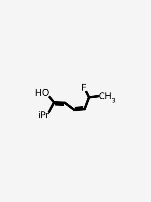 CC(F)/C=C\C=C(\O)C(C)C